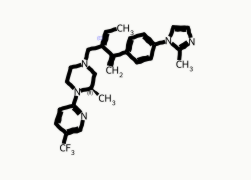 C=C(/C(=C\C)CN1CCN(c2ccc(C(F)(F)F)cn2)[C@H](C)C1)c1ccc(-n2ccnc2C)cc1